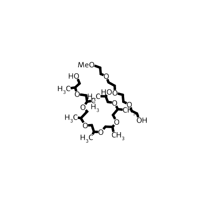 CC(O)COC(C)COC(C)COC(C)COC(C)COC(C)COC(C)CO.COCCOCCOCCOCCO